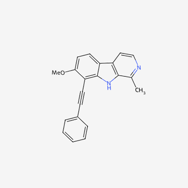 COc1ccc2c([nH]c3c(C)nccc32)c1C#Cc1ccccc1